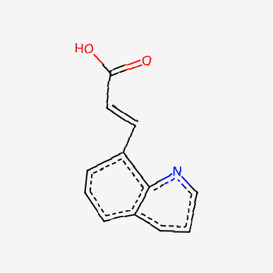 O=C(O)C=Cc1cccc2cccnc12